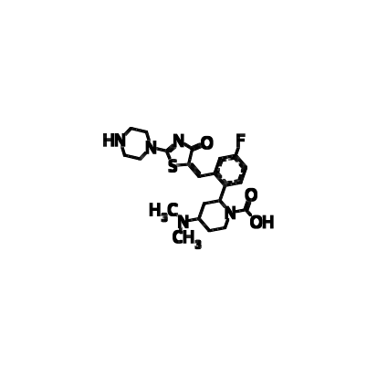 CN(C)C1CCN(C(=O)O)C(c2ccc(F)cc2C=C2SC(N3CCNCC3)=NC2=O)C1